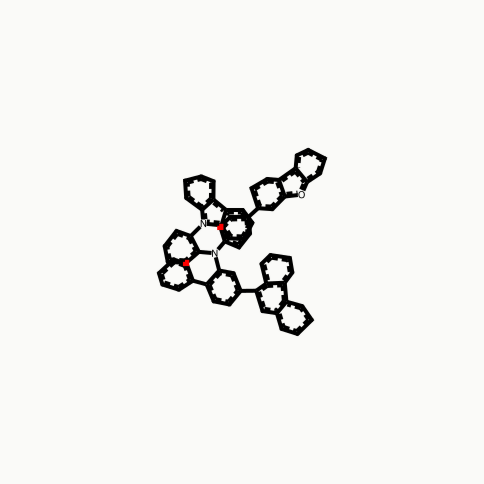 c1ccc(-c2ccc(-c3cc4ccccc4c4ccccc34)cc2N(c2ccc(-c3ccc4c(c3)oc3ccccc34)cc2)c2ccccc2-n2c3ccccc3c3ccccc32)cc1